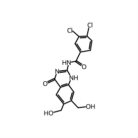 O=C(Nc1nc(=O)c2cc(CO)c(CO)cc2[nH]1)c1ccc(Cl)c(Cl)c1